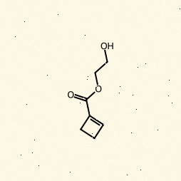 O=C(OCCO)C1=CCC1